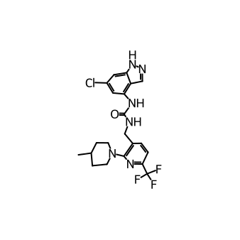 CC1CCN(c2nc(C(F)(F)F)ccc2CNC(=O)Nc2cc(Cl)cc3[nH]ncc23)CC1